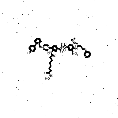 CN(C)CC[C@H](CCSc1ccccc1)Nc1ccc(S(=O)(=O)NC(=O)c2ccc(N3CCN(Cc4ccccc4-c4ccc(Cl)cc4)CC3)c(NC(=O)CCCCCCC(=O)NO)c2)cc1[N+](=O)[O-]